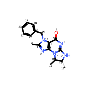 Cc1nc2c(c(=O)nc3n2C(C)[C@@H](C)N3)n1Cc1ccccc1